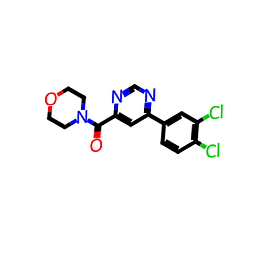 O=C(c1cc(-c2ccc(Cl)c(Cl)c2)ncn1)N1CCOCC1